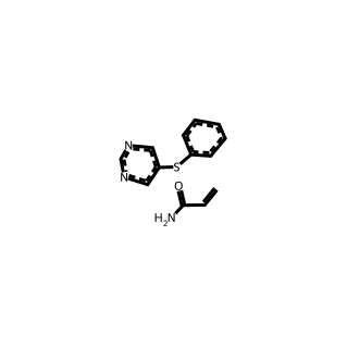 C=CC(N)=O.c1ccc(Sc2cncnc2)cc1